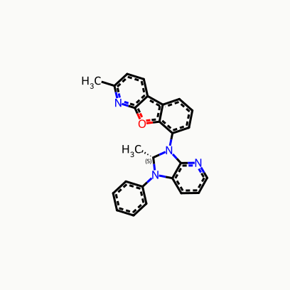 Cc1ccc2c(n1)oc1c(N3c4ncccc4N(c4ccccc4)[C@@H]3C)cccc12